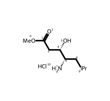 COC(=O)C[C@H](O)[C@@H](N)CC(C)C.Cl